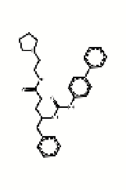 O=C(CC[C@H](Cc1ccccc1)NC(=O)Nc1ccc(-c2ccccc2)cc1)NCCN1CCCC1